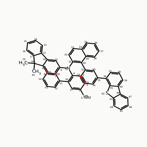 CC(C)(C)c1ccc(N(c2ccc3c(c2)-c2ccccc2C3(C)C)c2ccc3ccccc3c2-c2cccc(-c3cccc4c3sc3ccccc34)c2)c(-c2ccccc2)c1